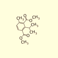 COC(=O)c1ccc(C)c(C(=O)OC)c1C(C)C